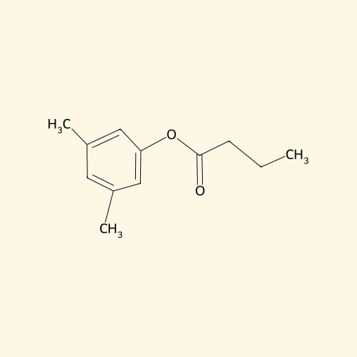 CCCC(=O)Oc1cc(C)cc(C)c1